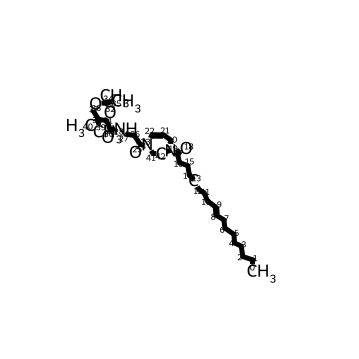 CCCCCCCCC=CCCCCCCCC(=O)N1CC=CN(C(=O)CCNC(=O)C2OC(C)(C)OCC2(C)C)CC1